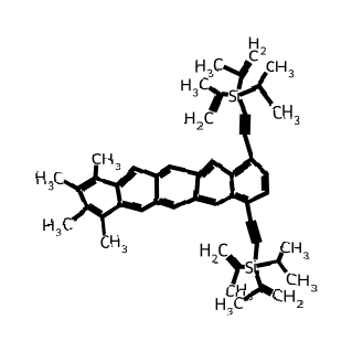 C=C(C)[Si](C#Cc1ccc(C#C[Si](C(=C)C)(C(=C)C)C(C)C)c2cc3cc4cc5c(C)c(C)c(C)c(C)c5cc4cc3cc12)(C(=C)C)C(C)C